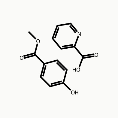 COC(=O)c1ccc(O)cc1.O=C(O)c1ccccn1